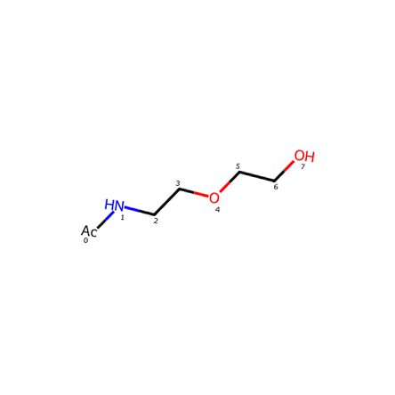 CC(=O)NCCOCCO